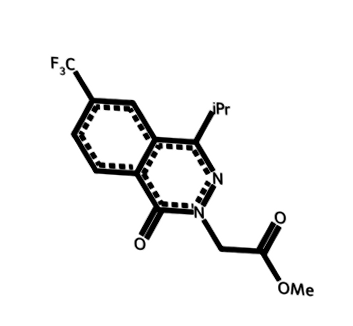 COC(=O)Cn1nc(C(C)C)c2cc(C(F)(F)F)ccc2c1=O